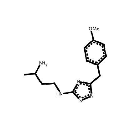 COc1ccc(Cc2nsc(NCCC(C)N)n2)cc1